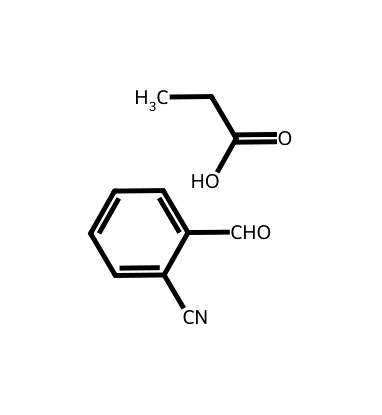 CCC(=O)O.N#Cc1ccccc1C=O